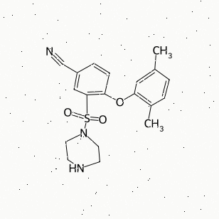 Cc1ccc(C)c(Oc2ccc(C#N)cc2S(=O)(=O)N2CCNCC2)c1